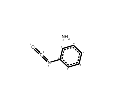 N.O=C=Nc1ccccc1